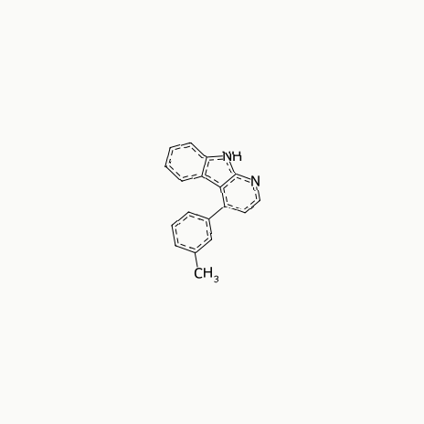 Cc1cccc(-c2ccnc3[nH]c4ccccc4c23)c1